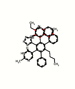 CCCCc1c(-c2ccccc2)c(-c2cnc(C)[nH]c2=O)c(-c2nnn[nH]2)c(N(C(=O)C(Br)CC)c2ccccc2)c1-c1cccc(C)c1-c1ccccc1